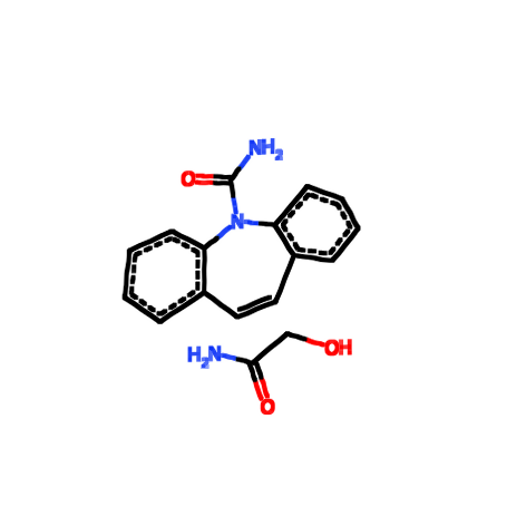 NC(=O)CO.NC(=O)N1c2ccccc2C=Cc2ccccc21